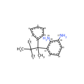 CCC(C)(CC)C(C)(c1ccccc1)c1cccc(N)c1N